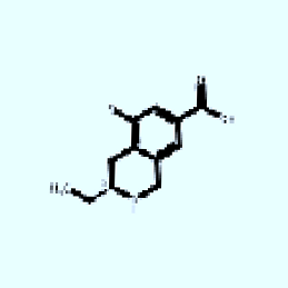 CC[C@H]1Cc2c(F)cc(C(=O)O)cc2CN1